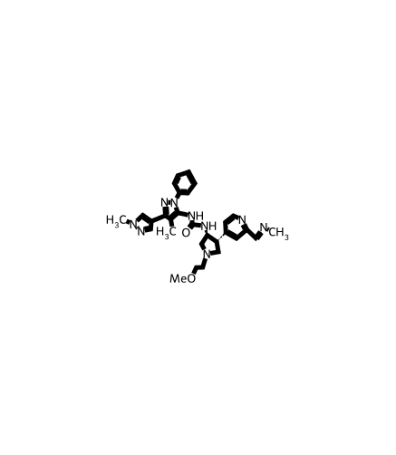 C/N=C/c1cc([C@@H]2CN(CCOC)C[C@H]2NC(=O)Nc2c(C)c(-c3cnn(C)c3)nn2-c2ccccc2)ccn1